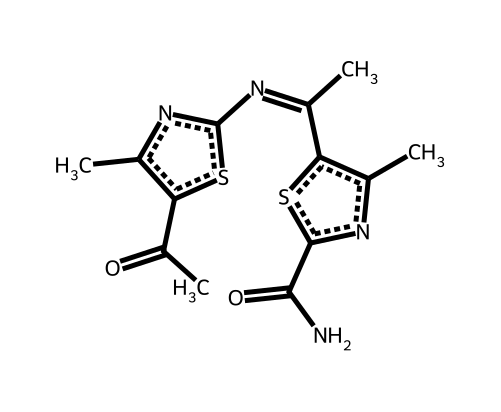 CC(=O)c1sc(N=C(C)c2sc(C(N)=O)nc2C)nc1C